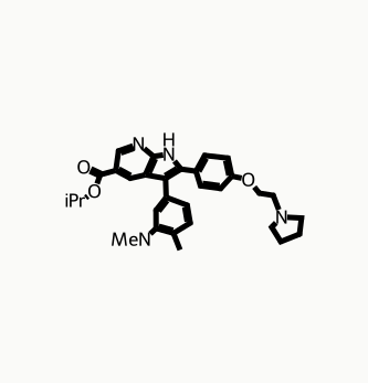 CNc1cc(-c2c(-c3ccc(OCCN4CCCC4)cc3)[nH]c3ncc(C(=O)OC(C)C)cc23)ccc1C